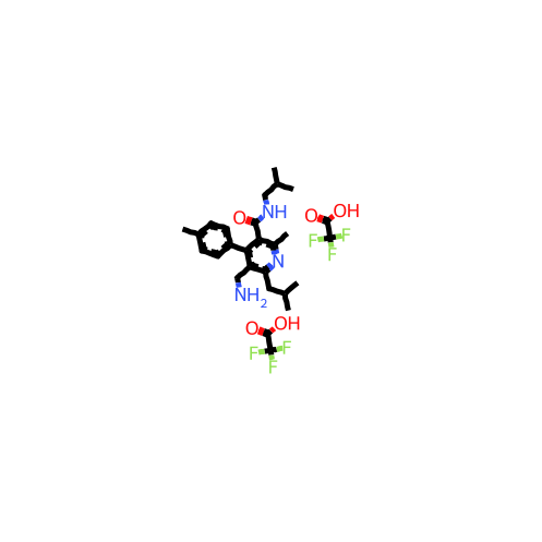 Cc1ccc(-c2c(CN)c(CC(C)C)nc(C)c2C(=O)NCC(C)C)cc1.O=C(O)C(F)(F)F.O=C(O)C(F)(F)F